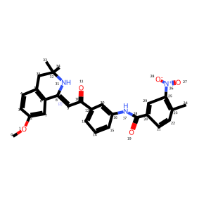 COc1ccc2c(c1)/C(=C/C(=O)c1cccc(NC(=O)c3ccc(C)c([N+](=O)[O-])c3)c1)NC(C)(C)C2